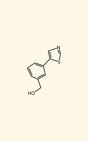 OCc1cccc(-c2cncs2)c1